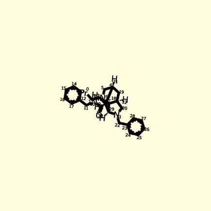 CC(C)CC[C@@H]1[C@@H]2CN[C@@]3(C(=O)NCc4ccccc4)[C@@H](C2)CN(Cc2ccccc2)[C@@H]13